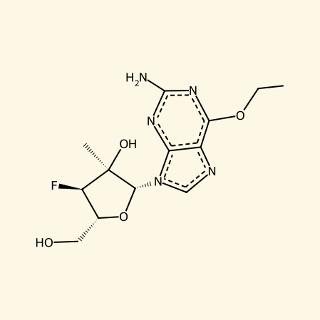 CCOc1nc(N)nc2c1ncn2[C@@H]1O[C@H](CO)[C@@H](F)[C@@]1(C)O